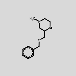 CN1CCNC(COCc2ccccc2)C1